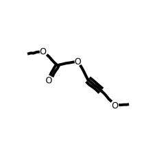 COC#COC(=O)OC